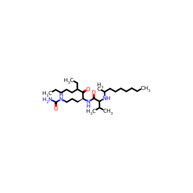 CCCCCCCC(C)NC(C(=O)N[C@@H](CCCNC(N)=O)C(=O)C(CC)CCCCC)C(C)C